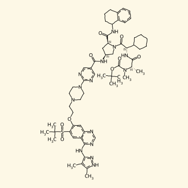 Cc1[nH]nc(Nc2ncnc3cc(OCCN4CCN(c5ncc(C(=O)N[C@H]6C[C@@H](C(=O)NC7CCCc8ccccc87)N(C(=O)[C@@H](NC(=O)[C@H](C)N(C)C(=O)OC(C)(C)C)C7CCCCC7)C6)cn5)CC4)c(S(=O)(=O)C(C)(C)C)cc23)c1C